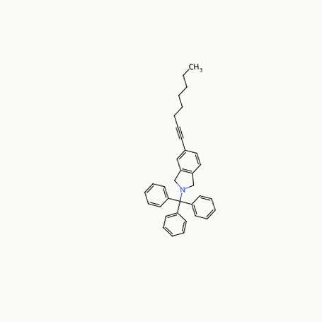 CCCCCCC#Cc1ccc2c(c1)CN(C(c1ccccc1)(c1ccccc1)c1ccccc1)C2